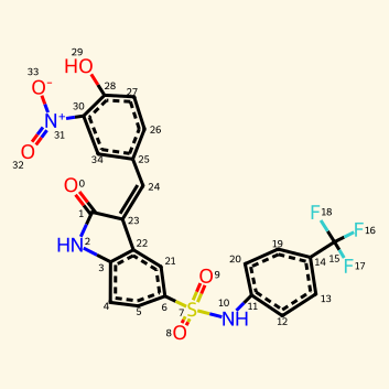 O=C1Nc2ccc(S(=O)(=O)Nc3ccc(C(F)(F)F)cc3)cc2C1=Cc1ccc(O)c([N+](=O)[O-])c1